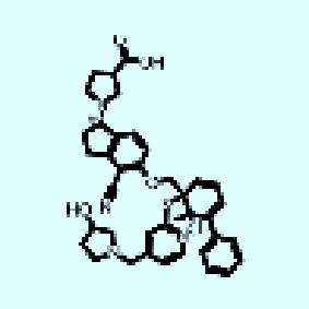 CC1(Cl)C(c2ccccc2)=CC=CC1(COc1ccc2c(c1C#N)CC[C@H]2N1CCC(C(=O)O)C1)Sc1cc(CN2CCC(O)C2)ccn1